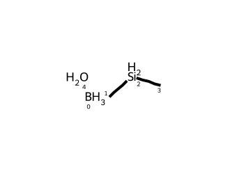 B.C[SiH2]C.O